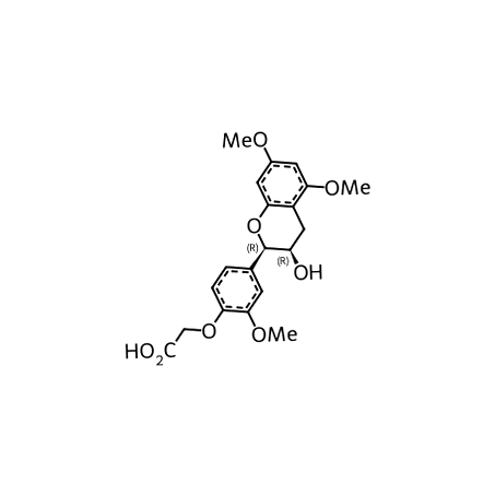 COc1cc(OC)c2c(c1)O[C@H](c1ccc(OCC(=O)O)c(OC)c1)[C@H](O)C2